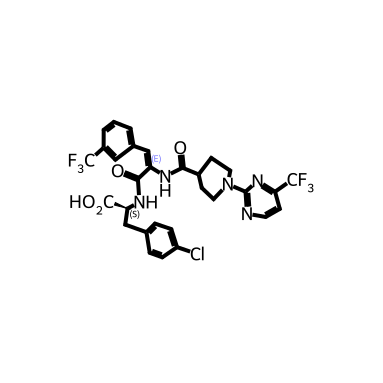 O=C(N[C@@H](Cc1ccc(Cl)cc1)C(=O)O)/C(=C\c1cccc(C(F)(F)F)c1)NC(=O)C1CCN(c2nccc(C(F)(F)F)n2)CC1